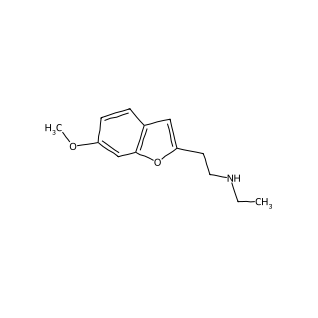 CCNCCc1cc2ccc(OC)cc2o1